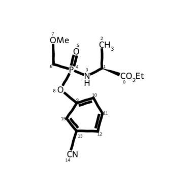 CCOC(=O)[C@H](C)NP(=O)(COC)Oc1cccc(C#N)c1